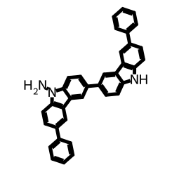 Nn1c2ccc(-c3ccccc3)cc2c2cc(-c3ccc4[nH]c5ccc(-c6ccccc6)cc5c4c3)ccc21